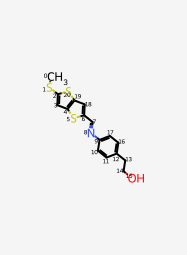 CSc1cc2sc(C=Nc3ccc(CCO)cc3)cc2s1